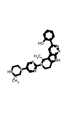 C[C@@H]1c2c([nH]c3nnc(-c4ccccc4O)cc23)CCN1c1ncc(N2CCN[C@@H](C)C2)cn1